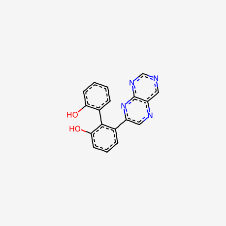 Oc1ccccc1-c1c(O)cccc1-c1cnc2cncnc2n1